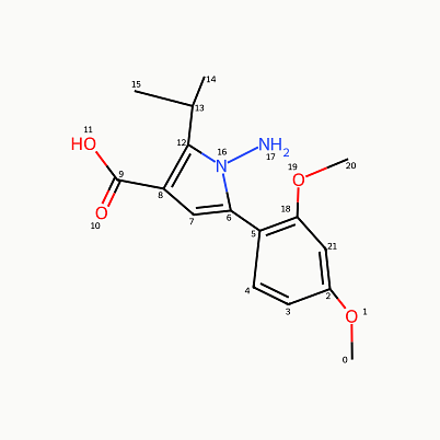 COc1ccc(-c2cc(C(=O)O)c(C(C)C)n2N)c(OC)c1